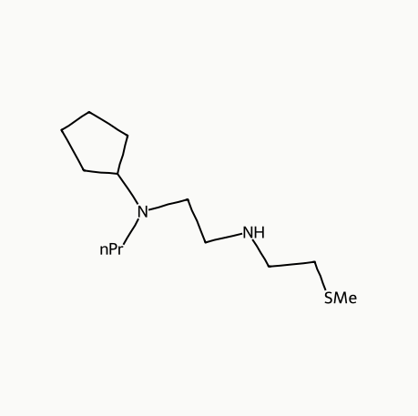 CCCN(CCNCCSC)C1CCCC1